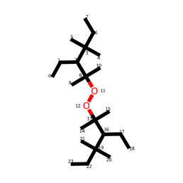 CCC(C(C)(C)CC)C(C)(C)OOC(C)(C)C(CC)C(C)(C)CC